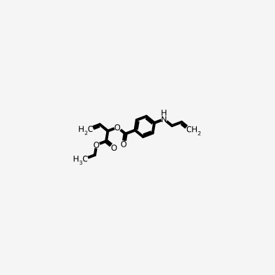 C=CCNc1ccc(C(=O)OC(C=C)C(=O)OCC)cc1